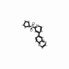 O=S(=O)(c1cc(-c2ccc3nccnc3c2)ccn1)C1CCCC1